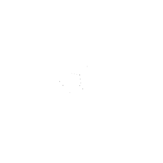 CC1ON=[C]N1C